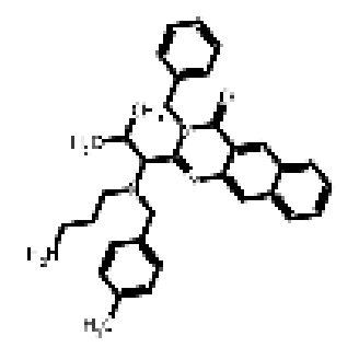 Cc1ccc(CN(CCCN)C(c2nc3cc4ccccc4cc3c(=O)n2Cc2ccccc2)C(C)C)cc1